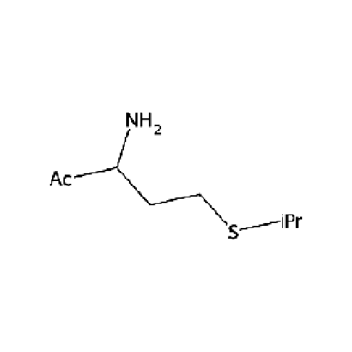 CC(=O)C(N)CCSC(C)C